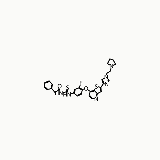 O=C(Cc1ccccc1)NC(=S)Nc1ccc(Oc2ccnc3cc(-c4cn(CCN5CCCC5)cn4)sc23)c(F)c1